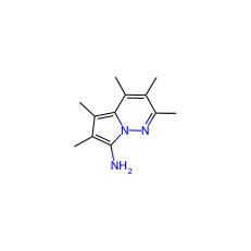 Cc1nn2c(N)c(C)c(C)c2c(C)c1C